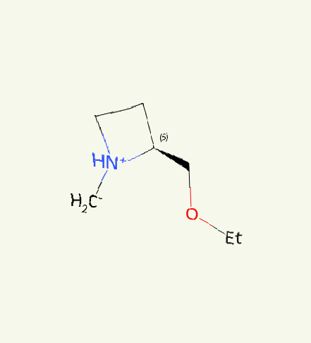 [CH2-][NH+]1CC[C@H]1COCC